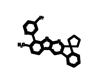 Cc1ccc2c(oc3nc4c(cc32)-c2ccccc2C42CCCC2)c1-c1cc(C(C)C)ccn1